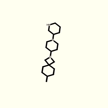 CC1CCC2(CC1)CN(C1CCN(C3CCCNC3)CC1)C2